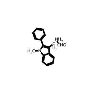 Cc1c(-c2ccccc2)n(C)c2ccccc12.NC=O